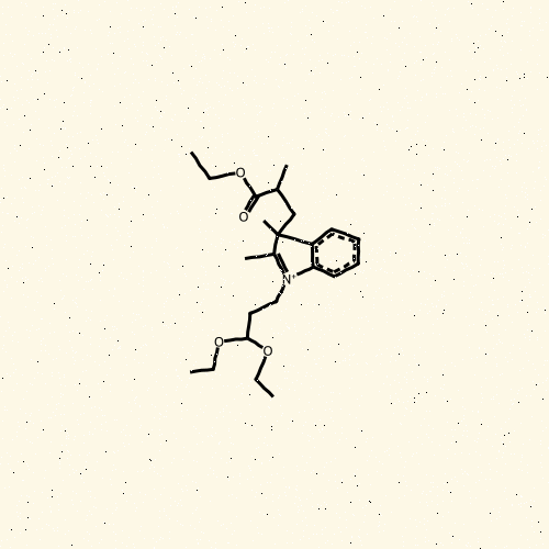 CCOC(=O)C(C)CC1(C)C(C)=[N+](CCC(OCC)OCC)c2ccccc21